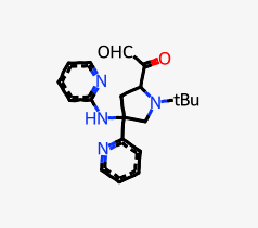 CC(C)(C)N1CC(Nc2ccccn2)(c2ccccn2)CC1C(=O)C=O